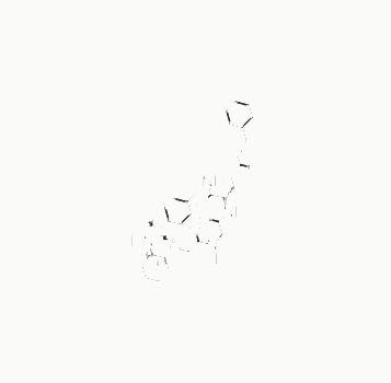 Cc1ccc(S(=O)(=O)N[C@@H]2CCCC[C@H]2OCC(=O)N[C@@H](C)C(=O)N[C@H](CCC(=O)OCc2ccccc2)C(N)=O)cc1